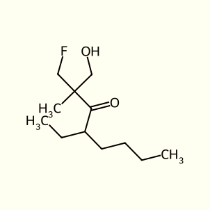 CCCCC(CC)C(=O)C(C)(CO)CF